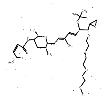 CCOCCOCCOCCO[C@@H]1[C@@H](/C=C/C(C)=C/C[C@@H]2O[C@H](C)[C@H](NC(=O)/C=C\[C@H](C)OC(C)=O)C[C@@H]2C)OC(C)(C)C[C@@]12CO2